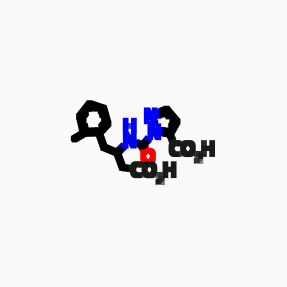 Cc1ccccc1CC(CC(=O)O)NC(=O)n1nccc1C(=O)O